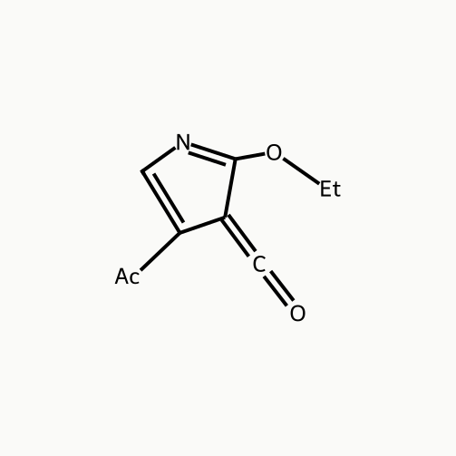 CCOC1=NC=C(C(C)=O)C1=C=O